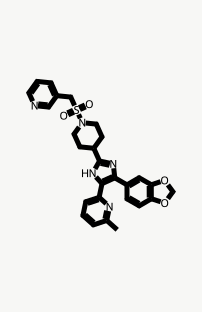 Cc1cccc(-c2[nH]c(C3CCN(S(=O)(=O)Cc4cccnc4)CC3)nc2-c2ccc3c(c2)OCO3)n1